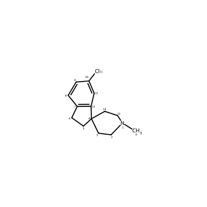 CN1CCC2(CCc3ccc(Cl)cc32)CC1